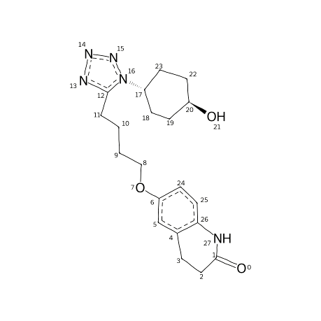 O=C1CCc2cc(OCCCCc3nnnn3[C@H]3CC[C@H](O)CC3)ccc2N1